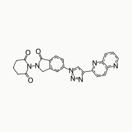 O=C1c2ccc(-n3cc(-c4ccc5ncccc5n4)nn3)cc2CN1N1C(=O)CCCC1=O